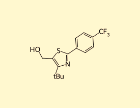 CC(C)(C)c1nc(-c2ccc(C(F)(F)F)cc2)sc1CO